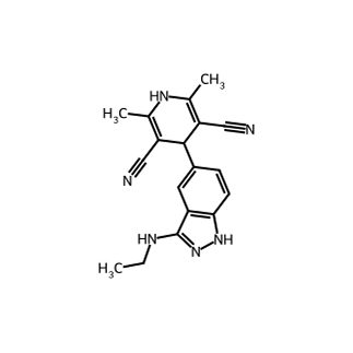 CCNc1n[nH]c2ccc(C3C(C#N)=C(C)NC(C)=C3C#N)cc12